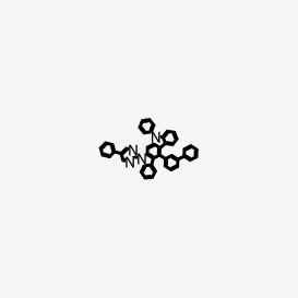 c1ccc(-c2cnc(-n3c4ccccc4c4c(-c5cccc(-c6ccccc6)c5)c5c6ccccc6n(-c6ccccc6)c5cc43)nc2)cc1